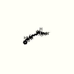 [N-]=[N+]=NCC(=O)Nc1nnc(CCCCc2nnc(NC(=O)Cc3ccccc3)s2)s1